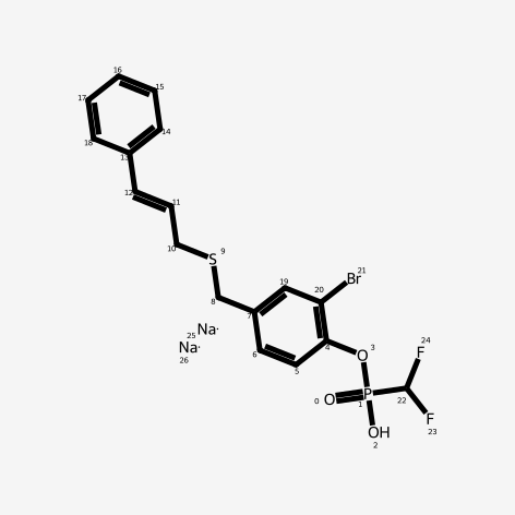 O=P(O)(Oc1ccc(CSCC=Cc2ccccc2)cc1Br)C(F)F.[Na].[Na]